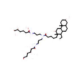 C[C@H](CCC(=O)N(CCCNC(=O)[C@H](O)[C@@H](O)[C@H](O)[C@H](O)CO)CCCNC(=O)[C@H](O)[C@@H](O)[C@H](O)[C@H](O)CO)[C@H]1CCC2C3CC[C@@H]4C[C@H](O)CCC4(C)C3C[C@H](O)C21C